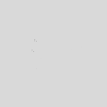 CCN(N)C(=O)c1ccc(C(C)(C)C)cc1